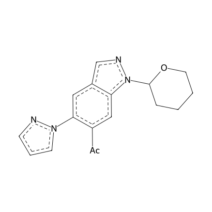 CC(=O)c1cc2c(cnn2C2CCCCO2)cc1-n1cccn1